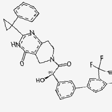 O=C([C@H](O)c1cccc(-c2ccc(Cl)c(C(F)(F)F)c2)c1)N1CCc2nc(C3(c4ccccc4)CC3)[nH]c(=O)c2C1